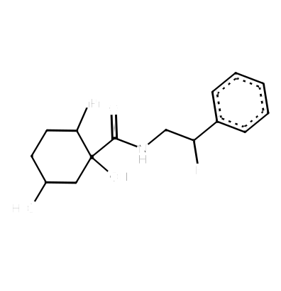 CC1CCC(C(C)C)C(O)(C(=O)NCC(F)c2ccccc2)C1